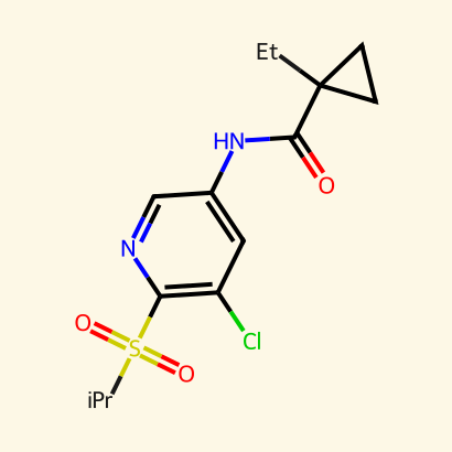 CCC1(C(=O)Nc2cnc(S(=O)(=O)C(C)C)c(Cl)c2)CC1